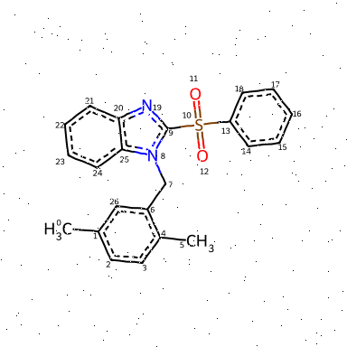 Cc1ccc(C)c(Cn2c(S(=O)(=O)c3ccccc3)nc3ccccc32)c1